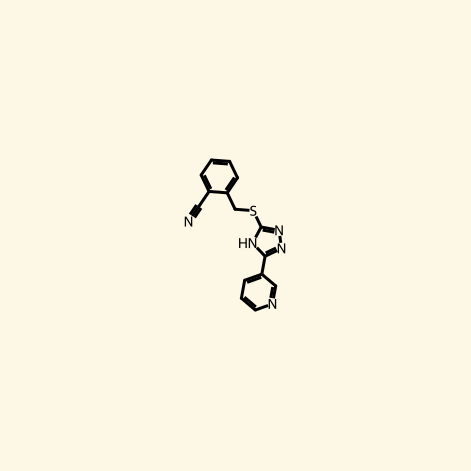 N#Cc1ccccc1CSc1nnc(-c2cccnc2)[nH]1